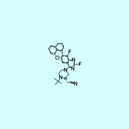 CC(C)(C)N1CCN(c2nc(F)nc3c(F)c(-c4cccc5cccc(Cl)c45)ccc23)C[C@@H]1CC#N